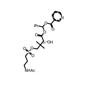 CC(=O)NCCCS(=O)(=O)OCC(C)(C)[C@@H](O)C(=O)OC(OC(=O)c1cccnc1)C(C)C